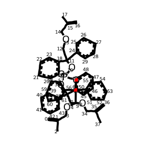 C=C(C)COCC(OP(=O)(OC(COCC(=C)C)(c1ccccc1)c1ccccc1)OC(COCC(=C)C)(c1ccccc1)c1ccccc1)(c1ccccc1)c1ccccc1